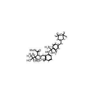 BC(B)(Nc1cccc(C)c1CN(C=O)C(C(=O)NC)C(B)(B)C(B)(O)C=O)c1ccc(CN2CC(C)(C)OC(C)(C)C2)cc1F